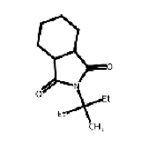 CCC(C)(CC)N1C(=O)C2CCCCC2C1=O